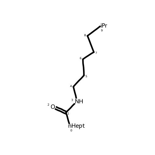 CCCCCCCC(=O)NCCCCCC(C)C